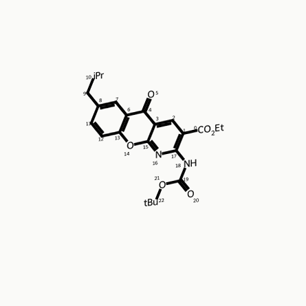 CCOC(=O)c1cc2c(=O)c3cc(CC(C)C)ccc3oc2nc1NC(=O)OC(C)(C)C